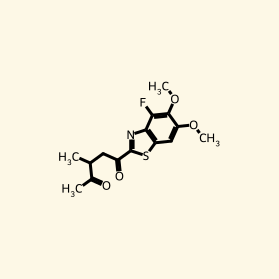 COc1cc2sc(C(=O)CC(C)C(C)=O)nc2c(F)c1OC